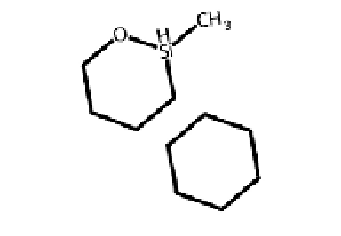 C1CCCCC1.C[SiH]1CCCCO1